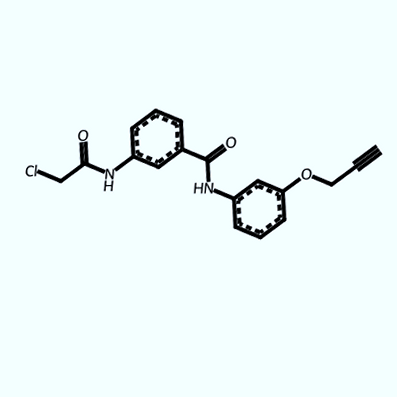 C#CCOc1cccc(NC(=O)c2cccc(NC(=O)CCl)c2)c1